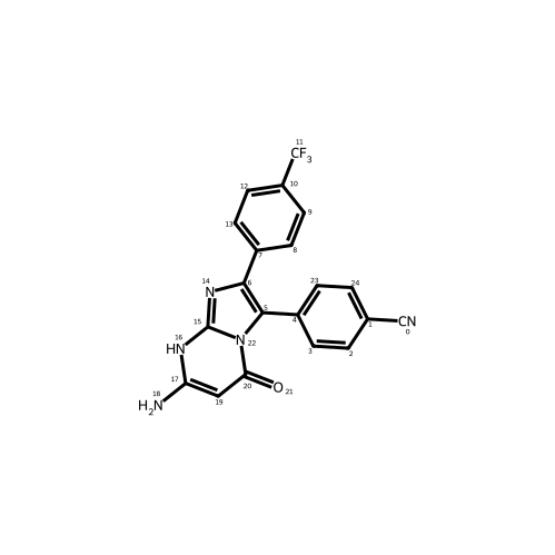 N#Cc1ccc(-c2c(-c3ccc(C(F)(F)F)cc3)nc3[nH]c(N)cc(=O)n23)cc1